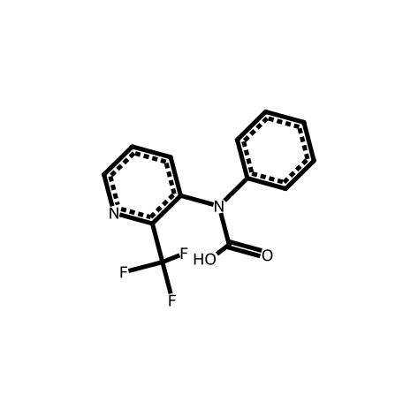 O=C(O)N(c1ccccc1)c1cccnc1C(F)(F)F